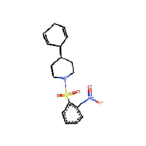 O=[N+]([O-])c1ccccc1S(=O)(=O)N1CCC(C2C=CCC=C2)CC1